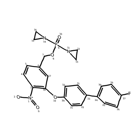 O=[N+]([O-])c1ccc(COP(=O)(N2CC2)N2CC2)cc1Oc1ccc(-c2ccc(F)cc2)cc1